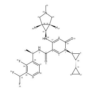 C[C@@H](NC(=O)c1cn([C@H]2C[C@@H]2C2CC2)c(=O)cc1N[C@H]1[C@@H]2CN(C)C[C@@H]21)c1cccc(C(F)F)c1F